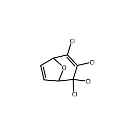 ClC1=C(Cl)C(Cl)(Cl)C2C=CC1O2